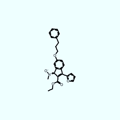 CCOC(=O)C1=C(c2ccco2)c2ccc(OCCCc3ccccc3)cc2/C1=[N+](/C)[O-]